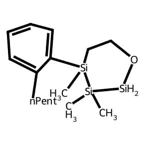 CCCCCc1ccccc1[Si]1(C)CCO[SiH2][Si]1(C)C